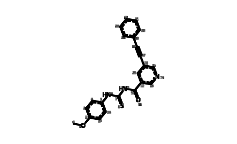 COc1ccc(NC(=S)NC(=O)c2cncc(C#Cc3ccccc3)c2)cc1